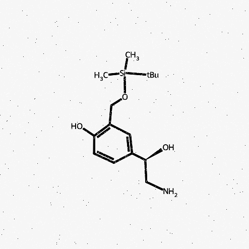 CC(C)(C)[Si](C)(C)OCc1cc([C@@H](O)CN)ccc1O